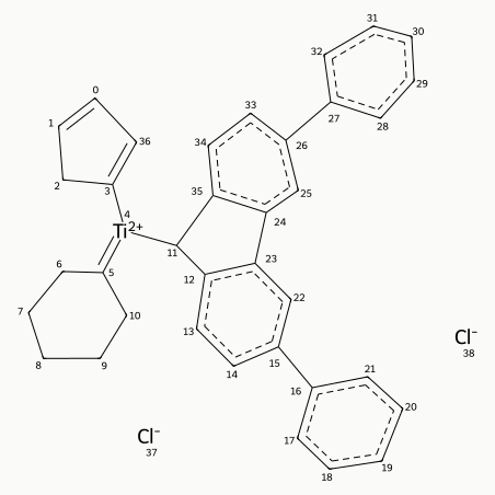 C1=CC[C]([Ti+2](=[C]2CCCCC2)[CH]2c3ccc(-c4ccccc4)cc3-c3cc(-c4ccccc4)ccc32)=C1.[Cl-].[Cl-]